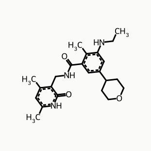 CCNc1cc(C2CCOCC2)cc(C(=O)NCc2c(C)cc(C)[nH]c2=O)c1C